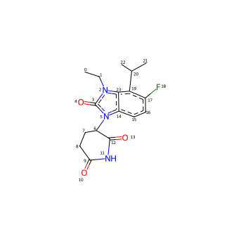 CCn1c(=O)n(C2CCC(=O)NC2=O)c2ccc(F)c(C(C)C)c21